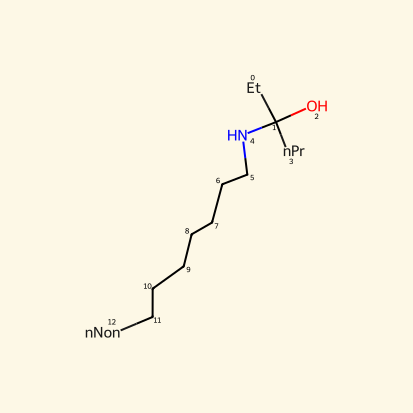 [CH2]CC(O)(CCC)NCCCCCCCCCCCCCCCC